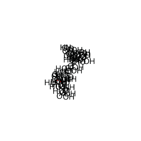 CO[C@@H]1OC(CO)[C@@H](O)[C@H](O[C@@H]2OC(C(=O)NNC(=O)SCC3O[C@H](O[C@H]4OC(CSC(=O)NNC(=O)C5O[C@@H](O[C@@H]6C(NC(C)=O)[C@H](OC)OC(CO)[C@H]6O)C(O)[C@@H](O)[C@@H]5O[C@@H]5OC(CO)[C@@H](O)[C@H](O[C@@H]6OC(C(=O)O)[C@@H](C)[C@H](O)C6O)C5NC(C)=O)[C@@H](O)[C@H](O)C4O)C(O)[C@@H](O)[C@@H]3O)[C@@H](O[C@@H]3OC(CO)[C@@H](O)[C@H](O[C@@H]4OC(C=O)[C@@H](C)[C@H](O)C4O)C3NC(C)=O)[C@H](O)C2O)C1NC(C)=O